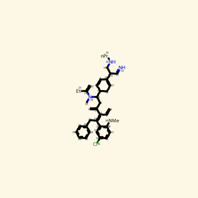 C=C/C(C(=C)CC(C1C=CC(C(C=N)CNCCC)=CC1)N(C)C(=C)CC)=C(/Cc1ccccc1)c1cc(Cl)ccc1NC